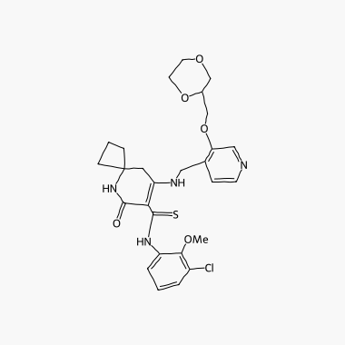 COc1c(Cl)cccc1NC(=S)C1=C(NCc2ccncc2OCC2COCCO2)CC2(CCC2)NC1=O